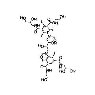 O=CN(CC(O)C(O)CN(C=O)c1c(I)c(C(=O)NCCO)c(I)c(C(=O)NCC(O)CO)c1I)c1c(I)c(C(=O)NCCO)cc(C(=O)NCC(O)CO)c1I